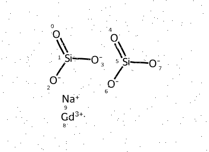 O=[Si]([O-])[O-].O=[Si]([O-])[O-].[Gd+3].[Na+]